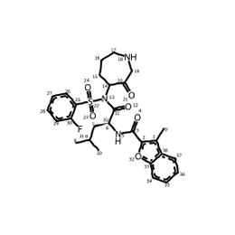 Cc1c(C(=O)N[C@@H](CC(C)C)C(=O)N(C2CCCNCC2=O)S(=O)(=O)c2ccccc2F)oc2ccccc12